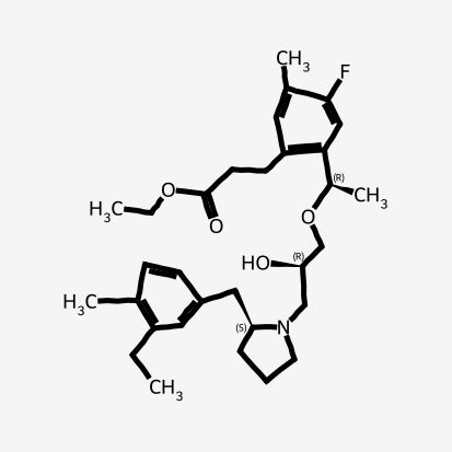 CCOC(=O)CCc1cc(C)c(F)cc1[C@@H](C)OC[C@H](O)CN1CCC[C@H]1Cc1ccc(C)c(CC)c1